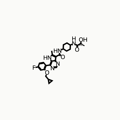 Cc1[nH]c2c(-c3ccc(F)cc3OCC3CC3)ncnc2c1C(=O)NC1CCC(NC(=O)[C@H](C)O)CC1